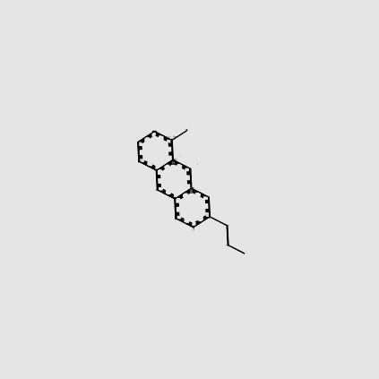 CCCc1ccc2cc3cccc(C)c3cc2c1